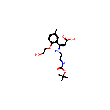 Cc1ccc(OCCO)c(/C(=C\C(=O)O)NCCNC(=O)OC(C)(C)C)c1